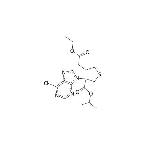 CCOC(=O)CC1CSCC1(C(=O)OC(C)C)n1cnc2c(Cl)ncnc21